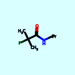 CC(C)NC(=O)C(C)(C)F